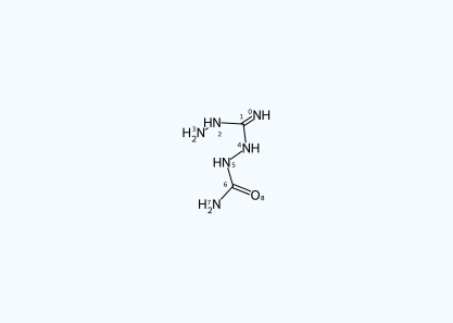 N=C(NN)NNC(N)=O